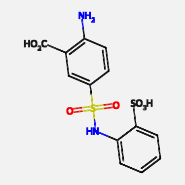 Nc1ccc(S(=O)(=O)Nc2ccccc2S(=O)(=O)O)cc1C(=O)O